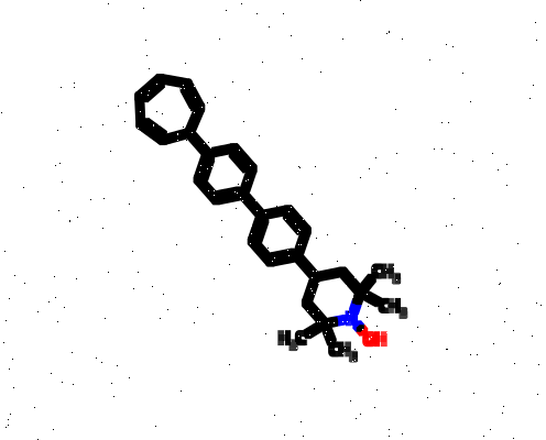 CC1(C)CC(c2ccc(-c3ccc(C4C=CC=CC=C4)cc3)cc2)CC(C)(C)N1O